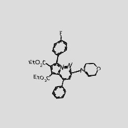 CCOC(=O)c1c(C(=O)OCC)c2c(-c3ccccc3)cc(N3CCOCC3)nn2c1-c1ccc(F)cc1